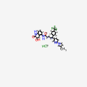 CC1CCN(c2ccc(/C(=C/C=C/C(=O)Nc3cccc4c3CC(O)C(=O)N4)c3ccc(C(F)(F)F)cc3)cn2)C1.Cl